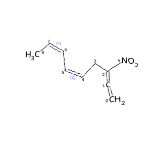 C=C=C(C/C=C\C=C/C)[N+](=O)[O-]